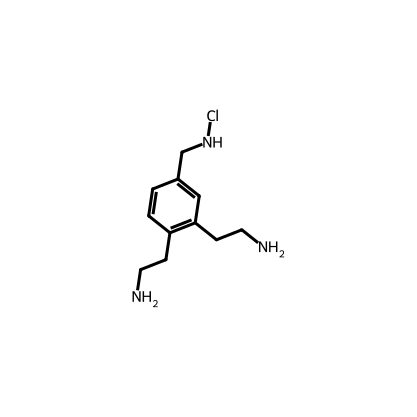 NCCc1ccc(CNCl)cc1CCN